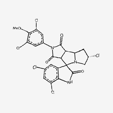 COc1c(Cl)cc(N2C(=O)C3C4C[C@H](Cl)CN4C4(C(=O)Nc5c(Cl)cc(Cl)cc54)C3C2=O)cc1Cl